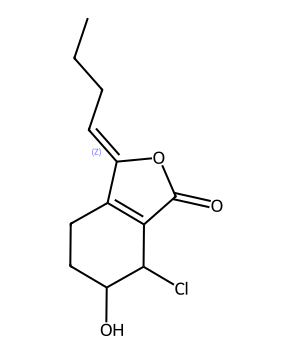 CCC/C=C1\OC(=O)C2=C1CCC(O)C2Cl